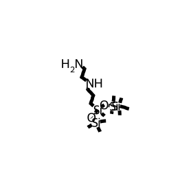 C[Si](C)(C)O[Si](C)(CCCNCCN)O[Si](C)(C)[Si](C)(C)C